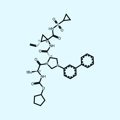 C=C[C@@H]1C[C@]1(NC(=O)[C@@H]1CN(c2cccc(-c3ccccc3)c2)CN1C(=O)[C@@H](NC(=O)OC1CCCC1)C(C)(C)C)C(=O)NS(=O)(=O)C1CC1